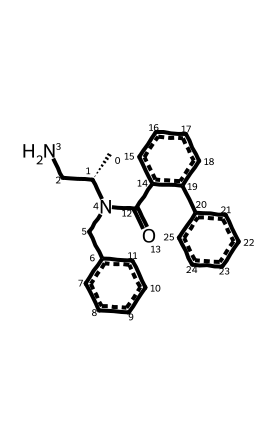 C[C@@H](CN)N(Cc1ccccc1)C(=O)c1ccccc1-c1ccccc1